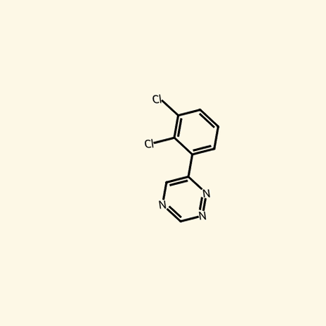 Clc1cccc(-c2cncnn2)c1Cl